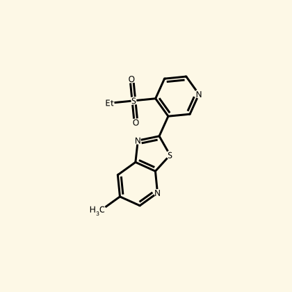 CCS(=O)(=O)c1ccncc1-c1nc2cc(C)cnc2s1